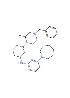 CC1CN(Cc2ccccc2)CCC1N1CCCC(Nc2nccc(N3CCCCCC3)n2)C1